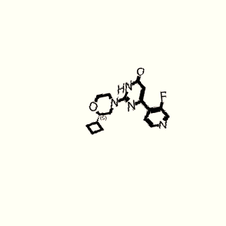 O=c1cc(-c2ccncc2F)nc(N2CCO[C@@H](C3CCC3)C2)[nH]1